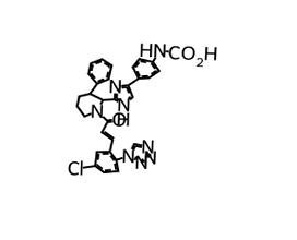 O=C(O)Nc1ccc(-c2c[nH]c(C3C(c4ccccc4)CCCN3C(=O)C=Cc3cc(Cl)ccc3-n3cnnn3)n2)cc1